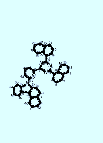 c1cc(-c2nc(-c3cccc4ccccc34)nc(-c3cccc4ccccc34)n2)nc(-n2c3ccccc3c3c4ccccc4ccc32)c1